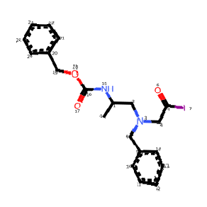 CC(CN(CC(=O)I)Cc1ccccc1)NC(=O)OCc1ccccc1